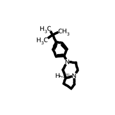 CC(C)(C)c1ccc(N2CCN3CCC[C@H]3C2)cc1